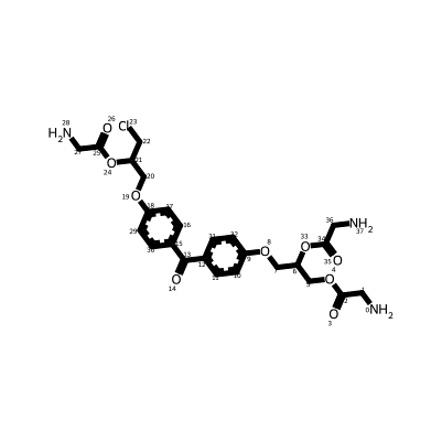 NCC(=O)OCC(COc1ccc(C(=O)c2ccc(OCC(CCl)OC(=O)CN)cc2)cc1)OC(=O)CN